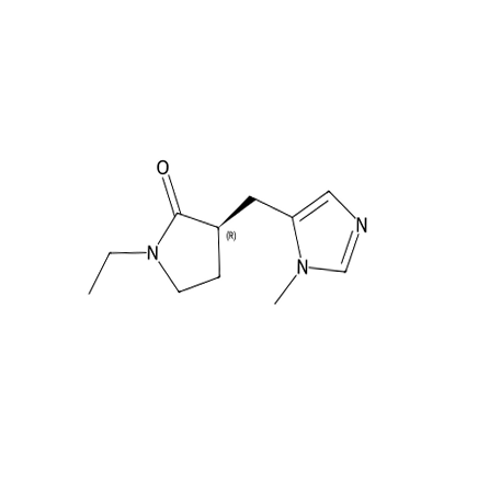 CCN1CC[C@H](Cc2cncn2C)C1=O